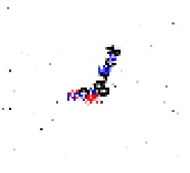 O=C1CCC(N2C(=O)c3cccc4c(Cc5cnn(C6CCN([C@H]7CCC78CCC8)CC6)c5)ccc2c34)C(=O)N1